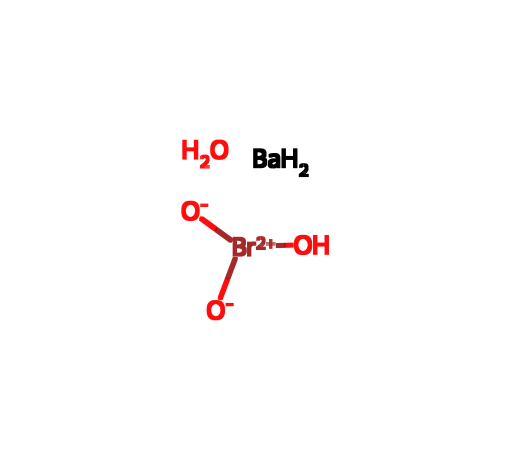 O.[BaH2].[O-][Br+2]([O-])O